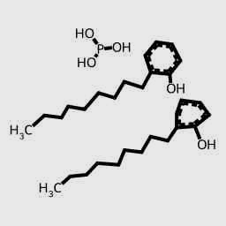 CCCCCCCCCc1ccccc1O.CCCCCCCCCc1ccccc1O.OP(O)O